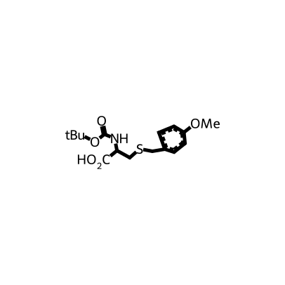 COc1ccc(CSCC(NC(=O)OC(C)(C)C)C(=O)O)cc1